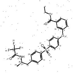 CCOC(=O)c1cccc(Oc2ccc(S(=O)(=O)c3ccc(C[C@@H](C)NC(=O)C(F)(F)F)cc3)cc2)c1